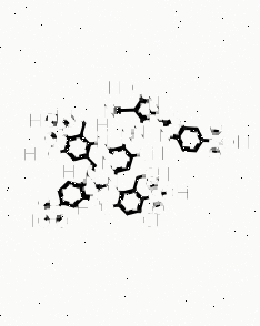 CCc1cc(C)c(S(=O)(=O)O)c(CC)c1Nc1nc(N(c2nc3ccc(S(=O)(=O)O)cc3s2)c2c(C)cc(C)c(S(=O)(=O)O)c2CC)cc(C)c1N=Nc1c(C#N)c(C)nn1-c1nc2ccc(S(=O)(=O)O)cc2s1